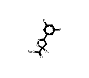 COC(=O)C1(C(C)=O)CC(c2cc(F)cc(F)c2)=NO1